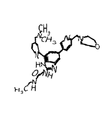 CCNC(=O)Nc1nc2cc(-c3ccc(CN4CCOCC4)nc3)cc(-c3cc(CN(C)C)ccn3)c2[nH]1